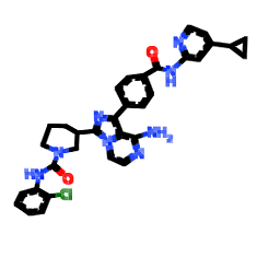 Nc1nccn2c(C3CCCN(C(=O)Nc4ccccc4Cl)C3)nc(-c3ccc(C(=O)Nc4cc(C5CC5)ccn4)cc3)c12